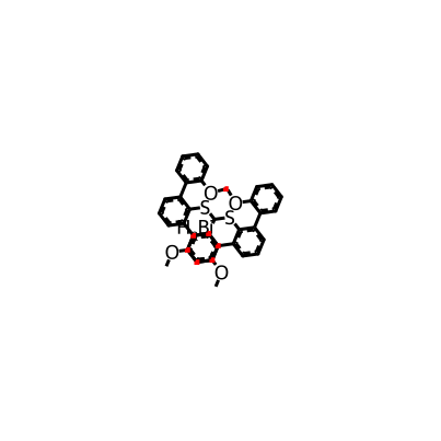 COc1ccccc1-c1cccc(-c2ccccc2OC)c1S[CH]([BiH2])Sc1c(-c2ccccc2OC)cccc1-c1ccccc1OC